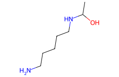 CC(O)NCCCCCN